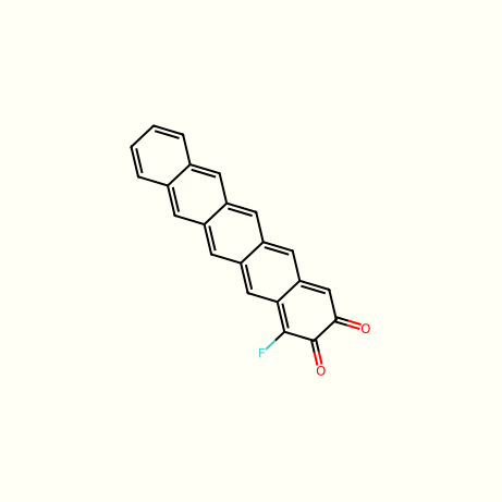 O=C1C=c2cc3cc4cc5ccccc5cc4cc3cc2=C(F)C1=O